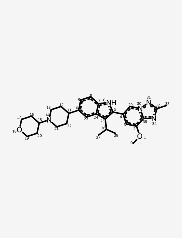 COc1cc(-c2[nH]c3ccc(C4CCN(C5CCOCC5)CC4)cc3c2C(C)C)cn2nc(C)nc12